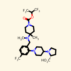 CN(Cc1ccc(C(F)(F)F)cc1N1CCC(N2CCC[C@@H]2C(=O)O)CC1)C1(C)CCN(C(=O)OC(C(F)(F)F)C(F)(F)F)CC1